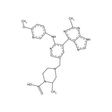 COc1ccc(Nc2ncc(CN3CCN(C(=O)O)C(C)C3)cc2-c2nc(C)nc3[nH]cnc23)cn1